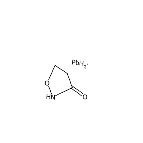 O=C1CCON1.[PbH2]